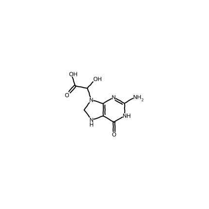 Nc1nc2c(c(=O)[nH]1)NCN2C(O)C(=O)O